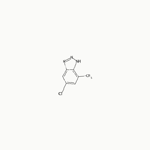 FC(F)(F)c1cc(Cl)cc2nn[nH]c12